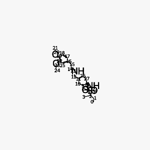 CCC(C)S(=O)(=O)NC1CCC(CNCCc2ccc(OC)c(OC)c2)CC1